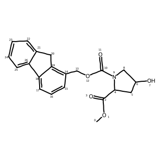 COC(=O)C1CC(O)CN1C(=O)OCc1cccc2c1Cc1ccccc1-2